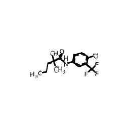 CCCC(C)(C)C(=O)Nc1ccc(Cl)c(C(F)(F)F)c1